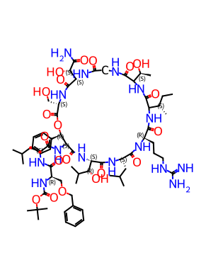 CC[C@H](C)C1NC(=O)[C@@H](CCCNC(=N)N)NC(=O)[C@H](CC(C)C)NC(=O)[C@H]([C@H](O)C(C)C)NC(=O)[C@@H](NC(=O)[C@H](CC(C)C)NC(=O)[C@@H](COCc2ccccc2)NC(=O)OC(C)(C)C)[C@@H](c2ccccc2)OC(=O)[C@H](CO)NC(=O)[C@H]([C@H](O)C(N)=O)NC(=O)CNC(=O)C([C@H](C)O)NC1=O